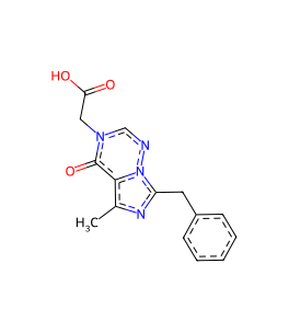 Cc1nc(Cc2ccccc2)n2ncn(CC(=O)O)c(=O)c12